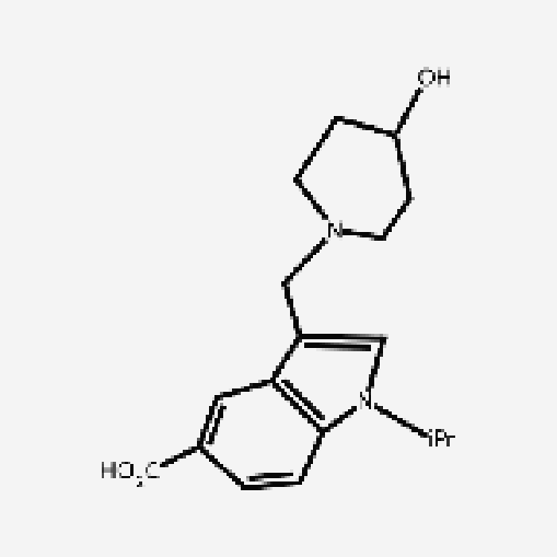 CC(C)n1cc(CN2CCC(O)CC2)c2cc(C(=O)O)ccc21